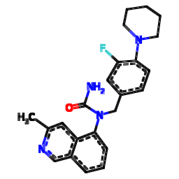 Cc1cc2c(N(Cc3ccc(N4CCCCC4)c(F)c3)C(N)=O)cccc2cn1